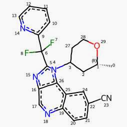 C[C@@H]1CC(n2c(C(F)(F)c3ccccn3)nc3cnc4ccc(C#N)cc4c32)CCO1